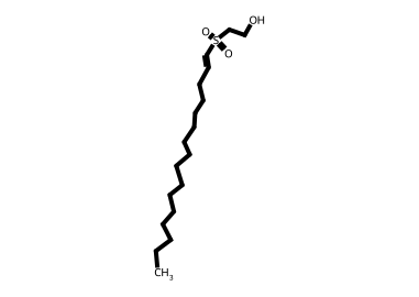 CCCCCCCCCCCCCCC=CS(=O)(=O)CCO